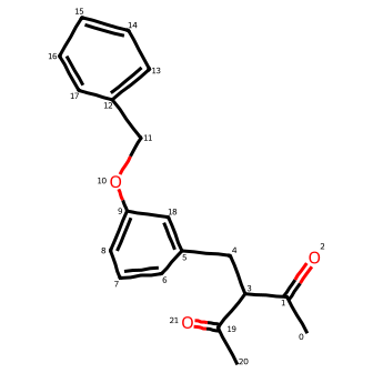 CC(=O)C(Cc1cccc(OCc2ccccc2)c1)C(C)=O